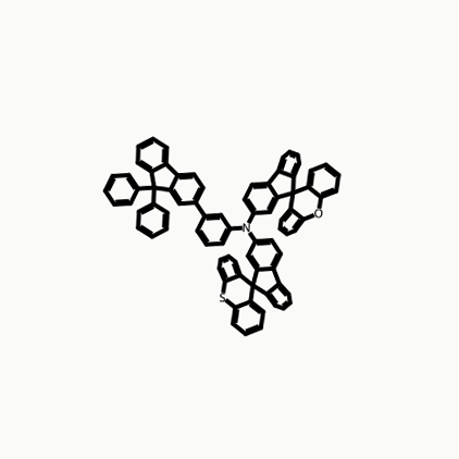 c1ccc(C2(c3ccccc3)c3ccccc3-c3ccc(-c4cccc(N(c5ccc6c(c5)C5(c7ccccc7Oc7ccccc75)c5ccccc5-6)c5ccc6c(c5)C5(c7ccccc7Sc7ccccc75)c5ccccc5-6)c4)cc32)cc1